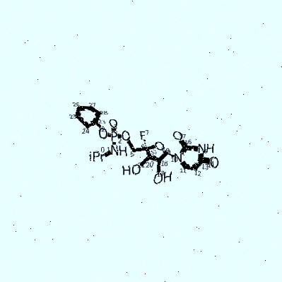 CC(C)NP(=O)(OC[C@@]1(F)O[C@@H](n2ccc(=O)[nH]c2=O)C(O)C1O)Oc1ccccc1